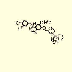 COc1cc2c(Nc3ccc(Cl)c(Cl)c3)ncnc2cc1OCC1CN(C(=NC#N)N2CCCCC2)CCO1